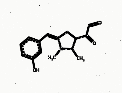 CC1C(C(=O)C=O)CC(=Cc2cccc(O)c2)N1C